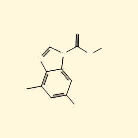 Cc1cc(F)cc2c1ncn2C(=O)OC(C)(C)C